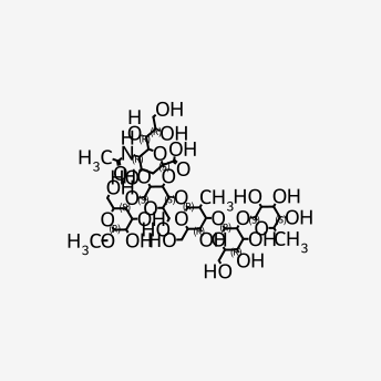 CO[C@@H]1OC(CO)[C@@H](O[C@@H]2OC(CO)[C@H](O[C@H]3OC(CO)[C@H](O)C(O[C@@H]4OC(CO)[C@H](O)C(O)C4O[C@@H]4OC(C)[C@@H](O)C(O)C4O)C3C)C(O[C@]3(C(=O)O)CC(O)[C@@H](NC(C)=O)C([C@H](O)[C@H](O)CO)O3)C2O)C(O)C1O